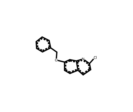 Clc1ccc2ccc(OCc3ccccc3)cc2n1